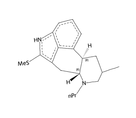 CCCN1CC(C)C[C@@H]2c3cccc4[nH]c(SC)c(c34)C[C@H]21